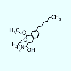 CCCCCCc1ccc(CCC(N)O)c(C(OCC)OCC)c1